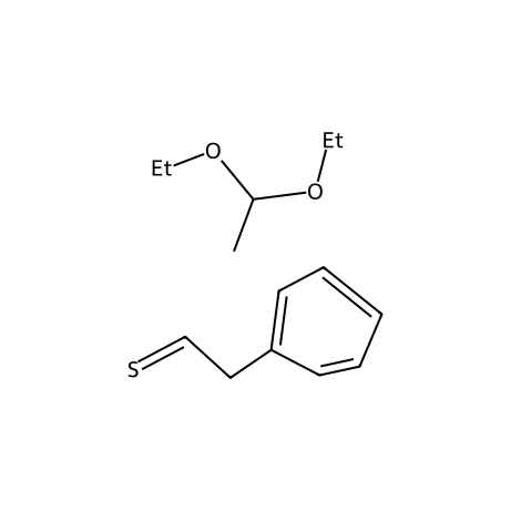 CCOC(C)OCC.S=CCc1ccccc1